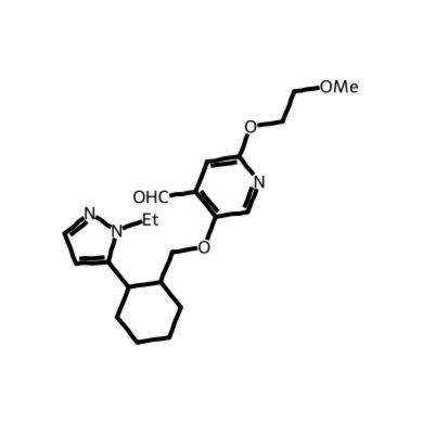 CCn1nccc1C1CCCCC1COc1cnc(OCCOC)cc1C=O